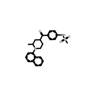 CC1CC(C(=O)c2ccc(NS(C)(=O)=O)cc2)CCN1c1cccc2ccccc12